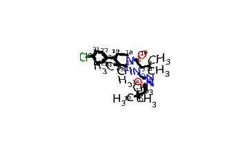 CC(C)C(Nc1nnc(CC(C)(C)C)o1)C(=O)N1CCC(c2ccc(Cl)cc2)C(C)(C)C1